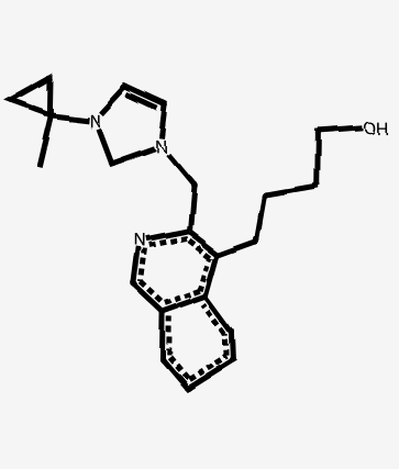 CC1(N2C=CN(Cc3ncc4ccccc4c3CCCCO)C2)CC1